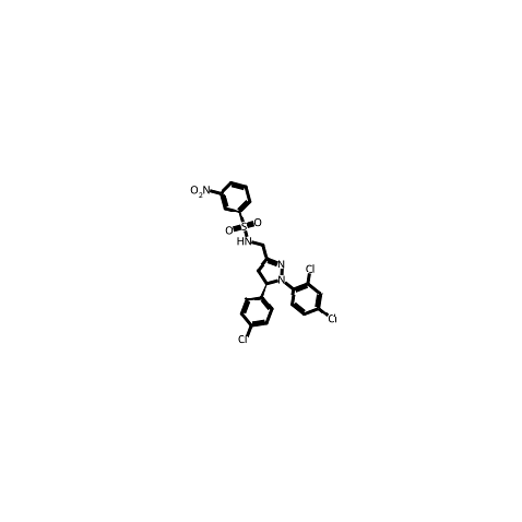 O=[N+]([O-])c1cccc(S(=O)(=O)NCC2=NN(c3ccc(Cl)cc3Cl)[C@@H](c3ccc(Cl)cc3)C2)c1